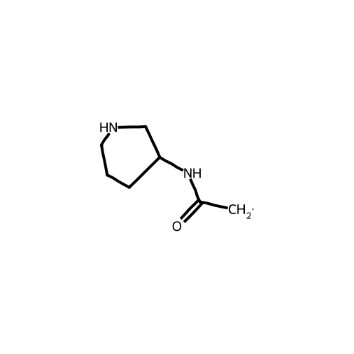 [CH2]C(=O)NC1CCCNC1